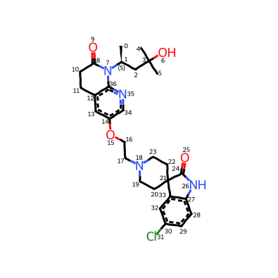 C[C@@H](CC(C)(C)O)N1C(=O)CCc2cc(OCCN3CCC4(CC3)C(=O)Nc3ccc(Cl)cc34)cnc21